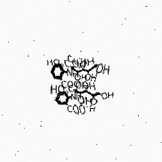 O=C([O-])c1ccccc1N[C@@](O)(C(=O)O)[C@@H](O)[C@H](O)[C@H](O)CO.O=C([O-])c1ccccc1N[C@@](O)(C(=O)O)[C@@H](O)[C@H](O)[C@H](O)CO.[Cu+2]